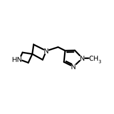 Cn1cc(CN2CC3(CNC3)C2)cn1